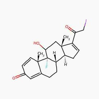 C[C@]12C=CC(=O)C=C1CC[C@H]1[C@@H]3CC=C(C(=O)CI)[C@@]3(C)CC(O)[C@@]12F